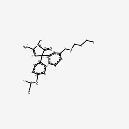 CCCCOCc1cccc(C2(c3ccc(OC(F)F)cc3)N=C(N)N(C)C2=O)c1